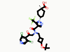 CC(C)(C)OC1CC(CN(CC(=O)c2c(Cl)cncc2Cl)C(=O)c2cnn([C@H]3CC[C@](C)(C(=O)O)CC3)c2C(F)(F)F)C1